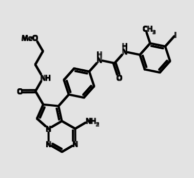 COCCNC(=O)c1cn2ncnc(N)c2c1-c1ccc(NC(=O)Nc2cccc(I)c2C)cc1